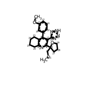 COCC1(c2nc3c(c(-c4cccc(OC)c4)c2-c2nn[nH]n2)CCCC3)CCCO1